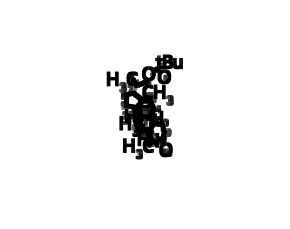 CC(COC(=O)C(C)(C)C)[C@H]1CC[C@H]2[C@@H]3CC[C@H]4N(C)C(=O)CC[C@]4(C)[C@H]3CC[C@]12C